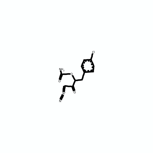 [N-]=[N+]=CC(=O)C(Cc1ccc(Cl)cc1)OC(N)=O